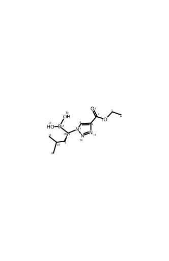 CCOC(=O)c1cn([C@@H](CC(C)C)B(O)O)nn1